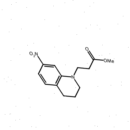 COC(=O)CCN1CCCc2ccc([N+](=O)[O-])cc21